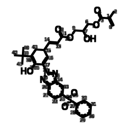 C=C(C)C(=O)OCC(O)COC(=O)C=CC1C=C(n2nc3ccc(S(=O)(=O)c4ccccc4)cc3n2)C(O)=C(C(C)(C)C)C1